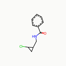 O=C(NCC1CC1Cl)c1ccccc1